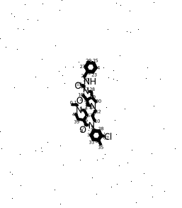 CC(=O)N1CCC(C(=O)N(CCCN2CC3CN(C(=O)NCc4ccccc4)CC3C2)c2ccc(C)c(Cl)c2)CC1